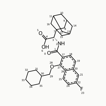 O=C(N[C@H](C(=O)O)C12CC3CC(CC(C3)C1)C2)c1ccc2cc(F)ccc2c1OCC1CCCCC1